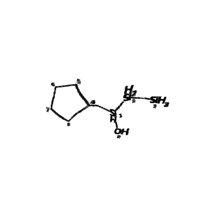 O[SiH]([SiH2][SiH3])C1CCCC1